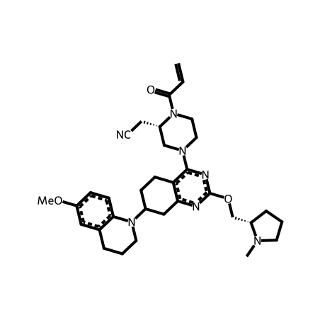 C=CC(=O)N1CCN(c2nc(OC[C@@H]3CCCN3C)nc3c2CCC(N2CCCc4cc(OC)ccc42)C3)C[C@@H]1CC#N